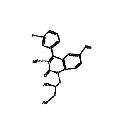 COc1ccc2c(c1)c(-c1cccc(F)c1)c(C#N)c(=O)n2CC(O)CO